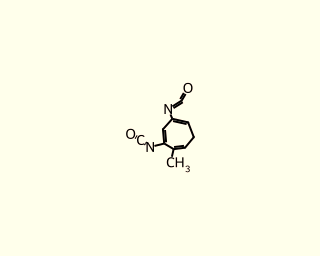 CC1=CCC=C(N=C=O)C=C1N=C=O